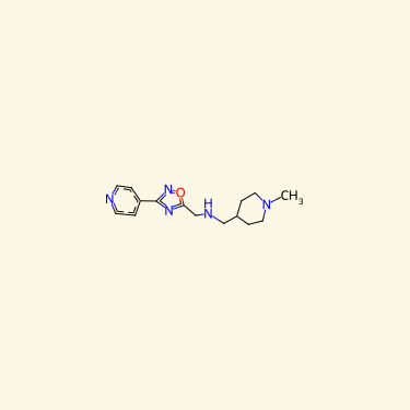 CN1CCC(CNCc2nc(-c3ccncc3)no2)CC1